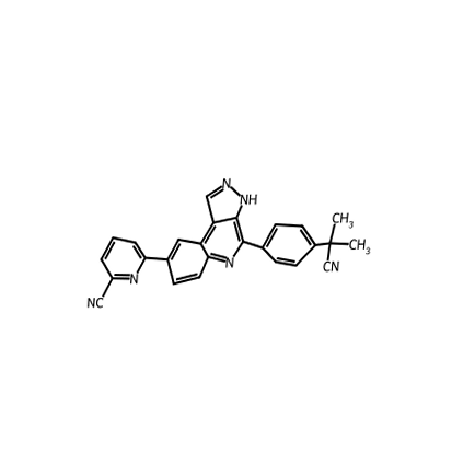 CC(C)(C#N)c1ccc(-c2nc3ccc(-c4cccc(C#N)n4)cc3c3cn[nH]c23)cc1